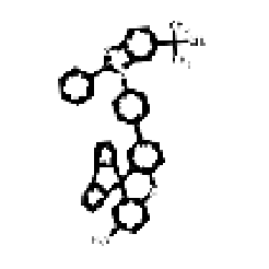 CC(C)(C)c1ccc2nc(-c3ccccc3)n(-c3ccc(-c4ccc5c(c4)C4(c6cc(N)ccc6O5)c5ccccc5-c5ccccc54)cc3)c2c1